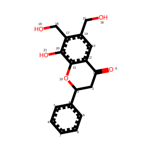 O=C1CC(c2ccccc2)Oc2c1cc(CO)c(CO)c2O